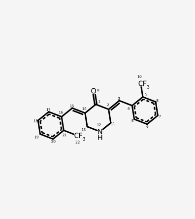 O=C1C(=Cc2ccccc2C(F)(F)F)CNCC1=Cc1ccccc1C(F)(F)F